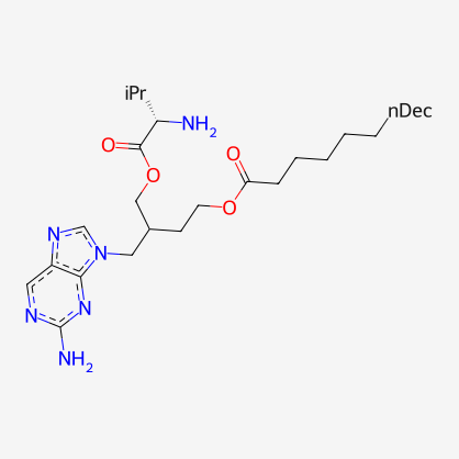 CCCCCCCCCCCCCCCC(=O)OCCC(COC(=O)[C@@H](N)C(C)C)Cn1cnc2cnc(N)nc21